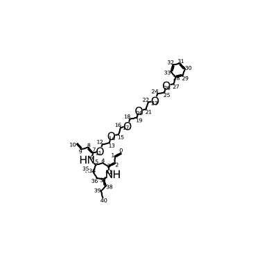 C=C/C=C1\CC(N/C(=C\C=C)OCCOCCOCCOCCOCCOCc2ccccc2)[C@@H](C)C/C(=C\CC)N1